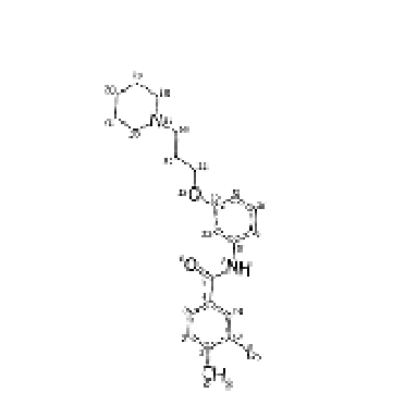 Cc1ccc(C(=O)Nc2cccc(OCCCN3CCCCC3)c2)cc1I